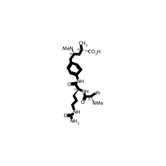 CN[C@@H](Cc1ccc(NC(=O)[C@H](CCCNC(N)=O)NC(=O)[C@@H](NC)C(C)C)cc1)C[C@H](C)C(=O)O